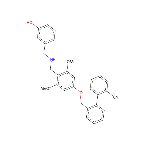 COc1cc(OCc2ccccc2-c2ccccc2C#N)cc(OC)c1CNCc1cccc(O)c1